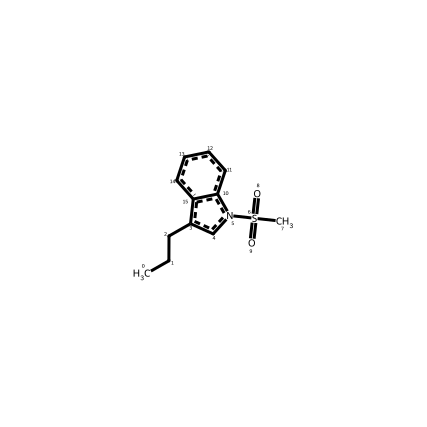 CCCc1cn(S(C)(=O)=O)c2ccccc12